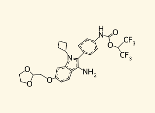 Nc1c(-c2ccc(NC(=O)OC(C(F)(F)F)C(F)(F)F)cc2)n(C2CCC2)c2cc(OCC3OCCO3)ccc12